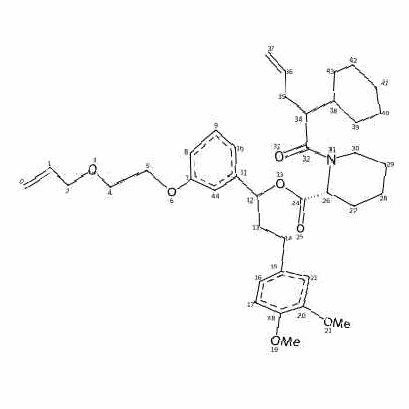 C=CCOCCOc1cccc(C(CCc2ccc(OC)c(OC)c2)OC(=O)[C@H]2CCCCN2C(=O)C(CC=C)C2CCCCC2)c1